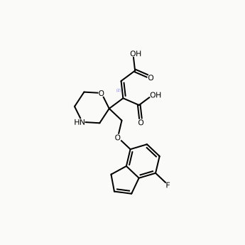 O=C(O)/C=C(\C(=O)O)C1(COc2ccc(F)c3c2CC=C3)CNCCO1